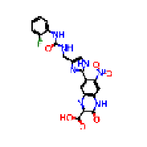 O=C(NCc1c[nH]c(-c2cc3nc(C(=O)O)c(=O)[nH]c3cc2[N+](=O)[O-])n1)Nc1ccccc1F